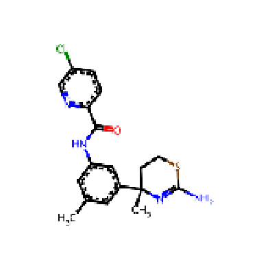 Cc1cc(NC(=O)c2ccc(Cl)cn2)cc(C2(C)CCSC(N)=N2)c1